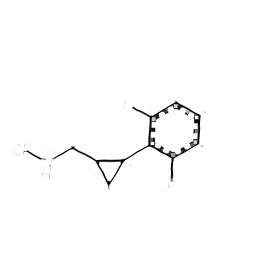 Fc1cccc(F)c1C1CC1CNCl